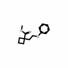 COC(=O)C1(CCOc2ccccc2)CCC1